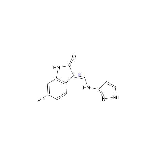 O=C1Nc2cc(F)ccc2/C1=C\Nc1cc[nH]n1